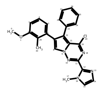 COc1cccc(-c2cn3nc(-c4nccn4C)nc(Cl)c3c2-c2ccccc2)c1C